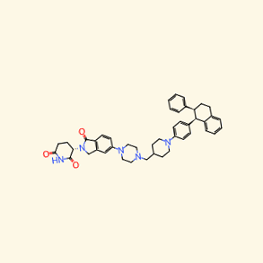 O=C1CC[C@H](N2Cc3cc(N4CCN(CC5CCN(c6ccc([C@@H]7c8ccccc8CC[C@@H]7c7ccccc7)cc6)CC5)CC4)ccc3C2=O)C(=O)N1